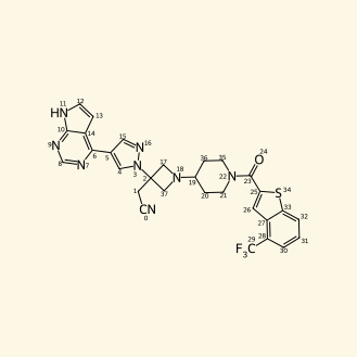 N#CCC1(n2cc(-c3ncnc4[nH]ccc34)cn2)CN(C2CCN(C(=O)c3cc4c(C(F)(F)F)cccc4s3)CC2)C1